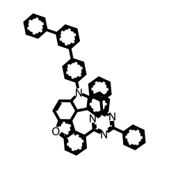 C1=CC2C(c3ccccc3N2c2ccc(-c3cccc(-c4ccccc4)c3)cc2)c2c1oc1cccc(-c3nc(-c4ccccc4)nc(-c4ccccc4)n3)c21